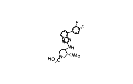 COC1CN(C(=O)O)CCC1Nc1nc2c(-c3ccc(F)c(F)c3)cccn2n1